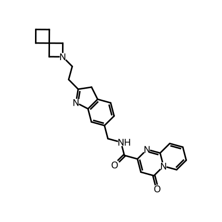 O=C(NCc1ccc2c(c1)N=C(CCN1CC3(CCC3)C1)C2)c1cc(=O)n2ccccc2n1